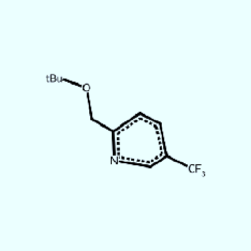 CC(C)(C)OCc1ccc(C(F)(F)F)cn1